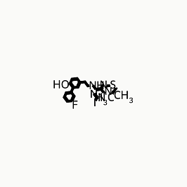 CC1(C)CSc2nc3c(NCCc4ccc(O)c(-c5cccc(F)c5)c4)nc(I)nc3n21